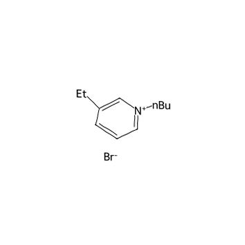 CCCC[n+]1cccc(CC)c1.[Br-]